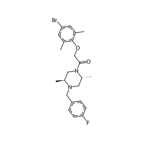 Cc1cc(Br)cc(C)c1OCC(=O)N1C[C@H](C)N(Cc2ccc(F)cc2)C[C@H]1C